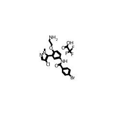 Cn1ncc(Cl)c1-c1cc(NC(=O)c2ccc(Br)cc2)ccc1OCCN.O=C(O)C(F)(F)F